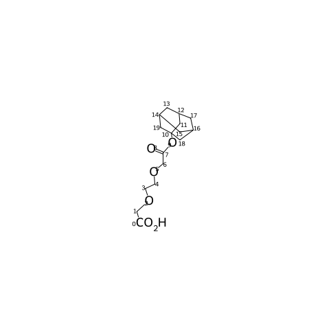 O=C(O)COCCOCC(=O)OC12CC3CC(CC(C3)C1)C2